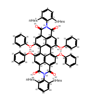 CCCCCCc1cccc(CCCCCC)c1N1C(=O)c2cc(Oc3ccccc3)c3c4c(Oc5ccccc5)cc5c6c(cc(Oc7ccccc7)c(c7c(Oc8ccccc8)cc(c2c37)C1=O)c64)C(=O)N(c1c(CCCCCC)cccc1CCCCCC)C5=O